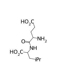 CC(C)CC(NC(=O)C(N)CCC(=O)O)C(=O)O